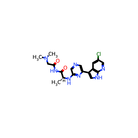 C[C@@H](Nc1cncc(-c2c[nH]c3ncc(Cl)cc23)n1)C(=O)NC(=O)CN(C)C